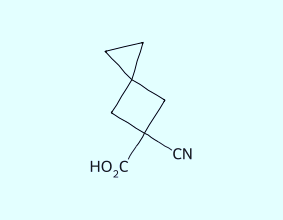 N#CC1(C(=O)O)CC2(CC2)C1